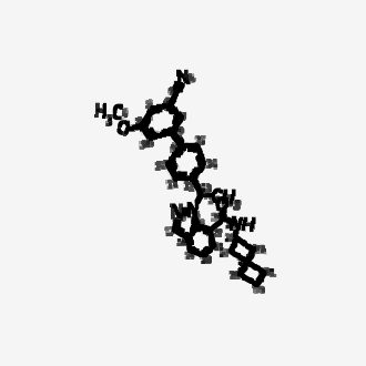 COc1cc(C#N)cc(-c2ccc([C@@H](C)n3ncc4cccc(C(=O)NC5CC6(CCC6)C5)c43)cc2)c1